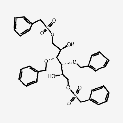 O=S(=O)(Cc1ccccc1)OC[C@@H](O)[C@@H](OCc1ccccc1)[C@H](OCc1ccccc1)[C@H](O)COS(=O)(=O)Cc1ccccc1